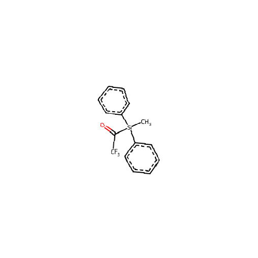 C[Si](C(=O)C(F)(F)F)(c1ccccc1)c1ccccc1